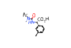 CC(=O)N(C)C(=O)NC(C(=O)O)c1cccc(C)c1